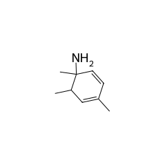 CC1=CC(C)C(C)(N)C=C1